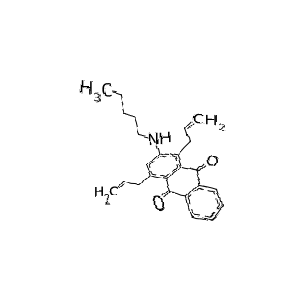 C=CCc1cc(NCCCCC)c(CC=C)c2c1C(=O)c1ccccc1C2=O